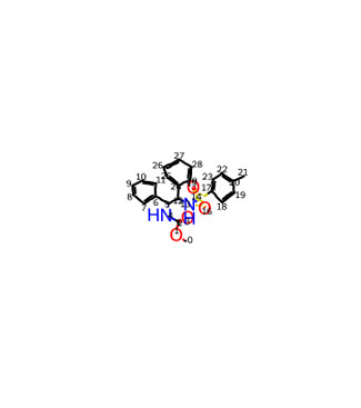 COC(=O)N[C@H](c1ccccc1)C(NS(=O)(=O)c1ccc(C)cc1)c1ccccc1